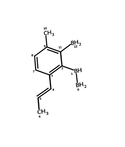 BBc1c(/C=C/C)ccc(C)c1B